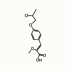 COC(=Cc1ccc(OCC(C)Cl)cc1)C(=O)O